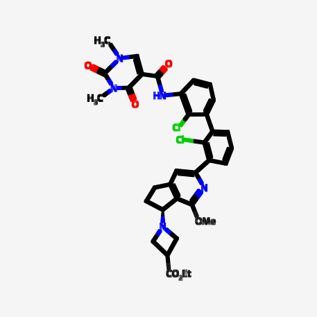 CCOC(=O)C1CN([C@H]2CCc3cc(-c4cccc(-c5cccc(NC(=O)c6cn(C)c(=O)n(C)c6=O)c5Cl)c4Cl)nc(OC)c32)C1